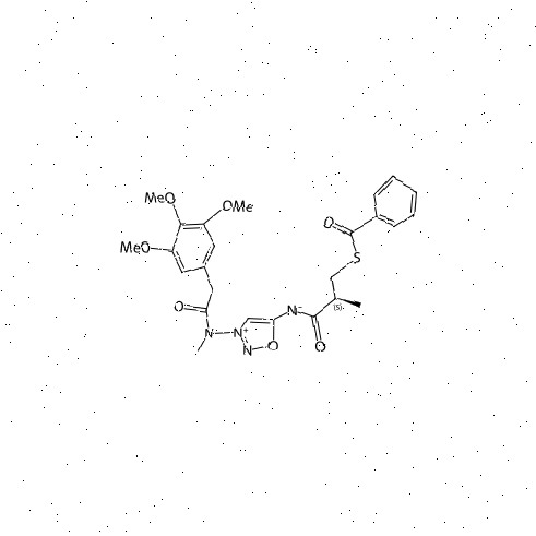 COc1cc(CC(=O)N(C)[n+]2cc([N-]C(=O)[C@H](C)CSC(=O)c3ccccc3)on2)cc(OC)c1OC